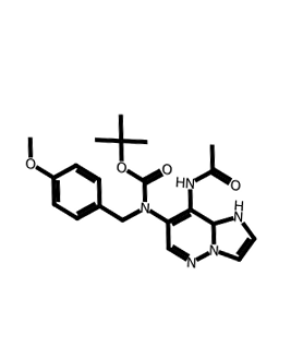 COc1ccc(CN(C(=O)OC(C)(C)C)C2=C(NC(C)=O)C3NC=CN3N=C2)cc1